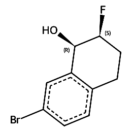 O[C@@H]1c2cc(Br)ccc2CC[C@@H]1F